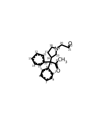 CC(=O)C(c1ccccc1)(c1ccccc1)C1CCN(CC=O)C1